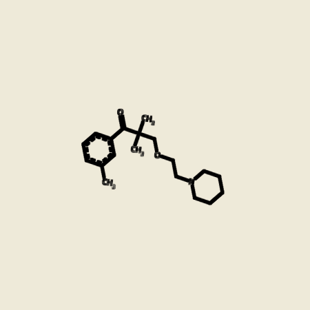 Cc1cccc(C(=O)C(C)(C)COCCN2CCCCC2)c1